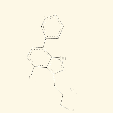 N[C@H](CO)Cc1c[nH]c2c(-c3ccccc3)ccc([N+](=O)[O-])c12